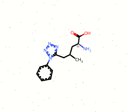 CC(Cc1nnnn1-c1ccccc1)C[C@H](N)C(=O)O